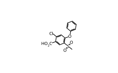 CS(=O)(=O)c1cc(C(=O)O)c(Cl)cc1Oc1ccccc1